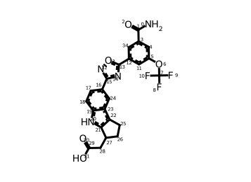 NC(=O)c1cc(OC(F)(F)F)cc(-c2nc(-c3ccc4[nH]c5c(c4c3)CCC5CC(=O)O)no2)c1